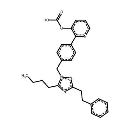 CCCCc1nc(CCc2ccccc2)nn1Cc1ccc(-c2ncccc2OC(=O)O)cc1